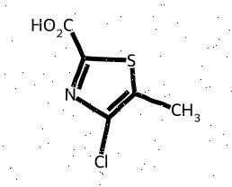 Cc1sc(C(=O)O)nc1Cl